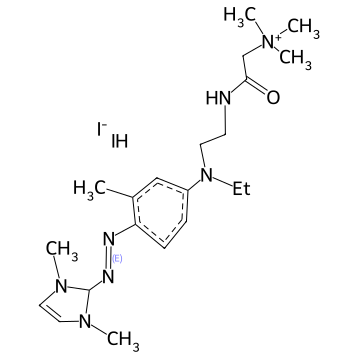 CCN(CCNC(=O)C[N+](C)(C)C)c1ccc(/N=N/C2N(C)C=CN2C)c(C)c1.I.[I-]